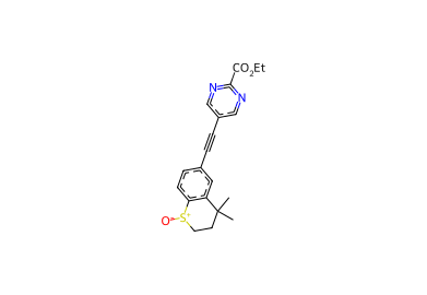 CCOC(=O)c1ncc(C#Cc2ccc3c(c2)C(C)(C)CC[S+]3[O-])cn1